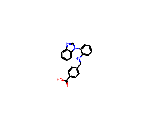 O=C(O)c1ccc(CNc2ccccc2-n2cnc3ccccc32)cc1